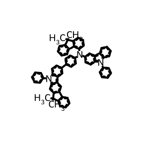 CC1(C)c2ccccc2-c2cc3c4cc(-c5ccc(N(c6ccc7c(c6)c6ccccc6n7-c6ccccc6)c6cccc7c6-c6ccccc6C7(C)C)cc5)ccc4n(-c4ccccc4)c3cc21